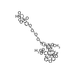 COc1nc(Nc2cc(S(C)(=O)=O)ccc2N[C@@H](c2cccc3c2OC(F)(F)O3)c2ncccc2Cl)nc(N2CCN(CCOCCOCCOCCOc3ccc4c(c3)C(=O)N(C3CCC(=O)NC3=O)C4=O)CC2)n1